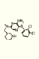 CN(CC1CCCNC1)c1cnc(Sc2cccc(Cl)c2Cl)c(N)n1